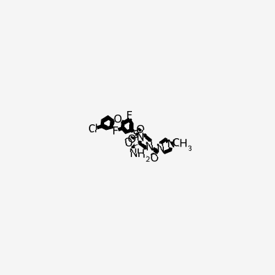 CN1CCN(C(=O)N2CCN(S(=O)(=O)c3cc(F)c(Oc4ccc(Cl)cc4)c(F)c3)[C@@H](C(N)=O)C2)CC1